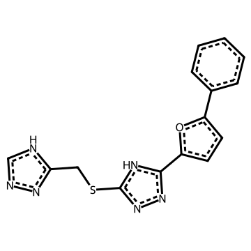 c1ccc(-c2ccc(-c3nnc(SCc4nnc[nH]4)[nH]3)o2)cc1